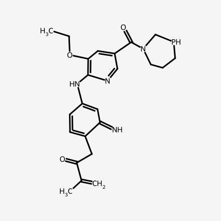 C=C(C)C(=O)CC1=C=CC(Nc2ncc(C(=O)N3CCCPC3)cc2OCC)=CC1=N